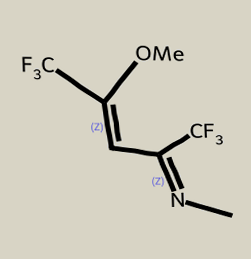 C/N=C(/C=C(\OC)C(F)(F)F)C(F)(F)F